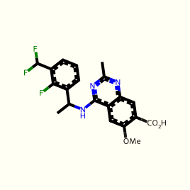 COc1cc2c(NC(C)c3cccc(C(F)F)c3F)nc(C)nc2cc1C(=O)O